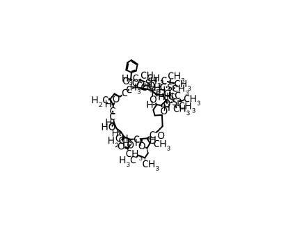 C=C1CC2CCC(OC(=O)c3ccccc3)/C=C/[C@H](O[Si](C)(C)C(C)(C)C)[C@@H]3O[C@H]4CCC(CC(=O)C[C@@H]5[C@@H](C)[C@@H](C[C@H](C)CC)O[C@H]5C[C@@H](OC(C)=O)C(=C)[C@H](C)C[C@H](O)CC[C@@H]1O2)O[C@@H]4[C@H](O[Si](C)(C)C(C)(C)C)[C@@H]3O[Si](C)(C)C(C)(C)C